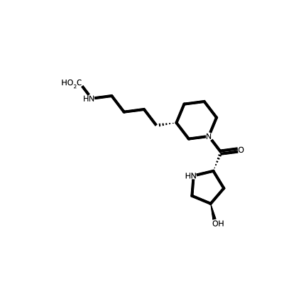 O=C(O)NCCCC[C@@H]1CCCN(C(=O)[C@@H]2C[C@@H](O)CN2)C1